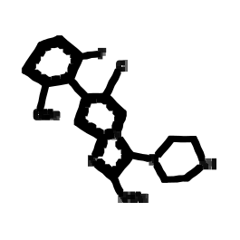 COc1cccc(F)c1-c1cc2nc(NC(C)=O)c(N3CCNCC3)n2cc1Cl